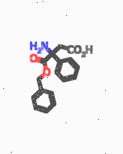 NC(CC(=O)O)(C(=O)OCc1ccccc1)c1ccccc1